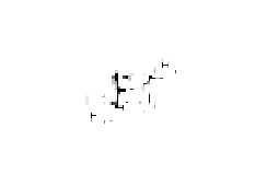 CC(C)(C)Cc1n[nH]c(C(C)(C)C)n1